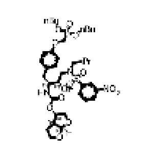 CCCCOP(=O)(COc1ccc(C[C@H](NC(=O)O[C@H]2CO[C@H]3OCC[C@H]32)[C@H](O)CN(CC(C)C)S(=O)(=O)c2cccc([N+](=O)[O-])c2)cc1)OCCCC